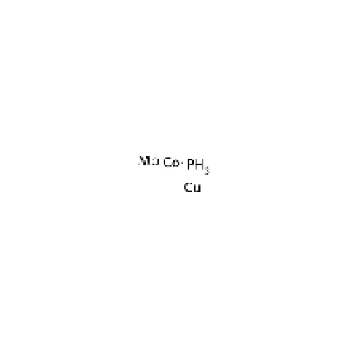 P.[Co].[Cu].[Mo]